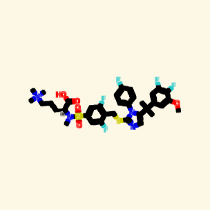 COc1cc(C(C)(C)c2cnc(SCc3c(F)cc(S(=O)(=O)N(C)[C@@H](CCC[N+](C)(C)C)C(=O)O)cc3F)n2-c2ccc(F)cc2)cc(F)c1F